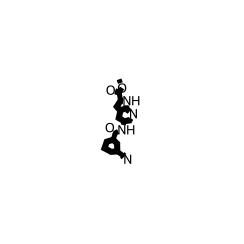 COC(=O)c1cc2cc(NC(=O)c3cccc(C#N)c3)cnc2[nH]1